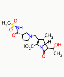 C[C@@H](O)C1C(=O)N2C(C(=O)O)=C(CN3CC[C@H](C(=O)NS(C)(=O)=O)C3)[C@H](C)[C@H]12